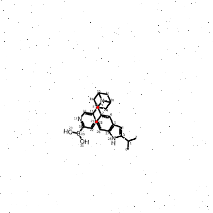 CC(C)c1cc2cc(CN3C4CC3CN(c3cnc(B(O)O)cn3)C4)ccc2[nH]1